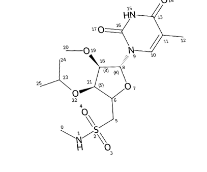 CNS(=O)(=O)CC1O[C@@H](n2cc(C)c(=O)[nH]c2=O)[C@H](OC)[C@@H]1OC(C)C